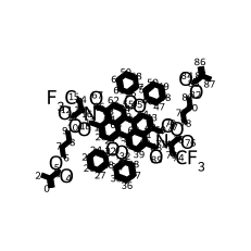 C=C(C)C(=O)OCCCCOC(=O)C(CC(F)(F)F)N1C(=O)c2cc(Oc3ccccc3)c3c4c(Oc5ccccc5)cc5c6c(cc(Oc7ccccc7)c(c7c(Oc8ccccc8)cc(c2c37)C1=O)c64)C(=O)N(C(CC(F)(F)F)C(=O)OCCCCOC(=O)C(=C)C)C5=O